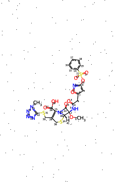 CO[C@@]1(NC(=O)Cc2cc(OS(=O)(=O)c3ccccc3)no2)C(=O)N2C(C(=O)O)=C(CSc3nnnn3C)CS[C@H]21